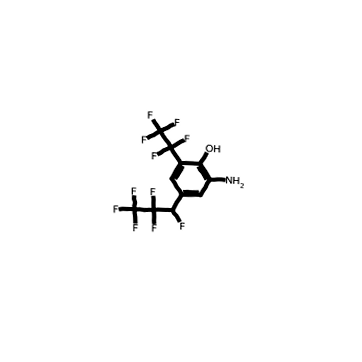 Nc1cc(C(F)C(F)(F)C(F)(F)F)cc(C(F)(F)C(F)(F)F)c1O